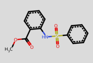 COC(=O)c1ccccc1NS(=O)(=O)c1ccccc1